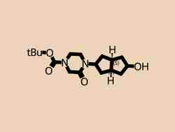 CC(C)(C)OC(=O)N1CCN(C2C[C@H]3CC(O)C[C@H]3C2)C(=O)C1